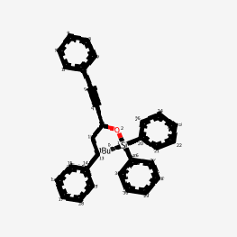 CC(C)(C)[Si](OC(C#Cc1ccccc1)CCc1ccccc1)(c1ccccc1)c1ccccc1